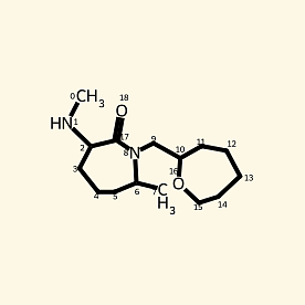 CNC1CCCC(C)N(CC2CCCCCO2)C1=O